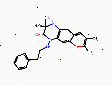 CC1=C(C)OC2=CC3=C(CC2=C1)NC(C)(C)[C@@H](O)N3NCCc1ccccc1